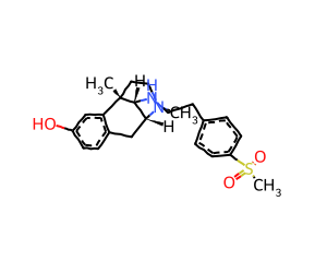 CN1CC[C@@]2(C)c3cc(O)ccc3C[C@@H]1[C@H]2NCCc1ccc(S(C)(=O)=O)cc1